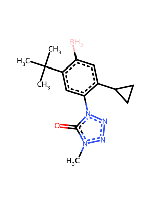 Bc1cc(C2CC2)c(-n2nnn(C)c2=O)cc1C(C)(C)C